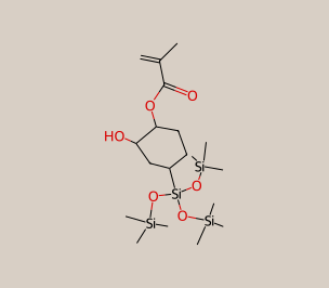 C=C(C)C(=O)OC1CCC([Si](O[Si](C)(C)C)(O[Si](C)(C)C)O[Si](C)(C)C)CC1O